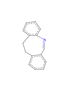 C1=Nc2ccccc2CCc2ccccc21